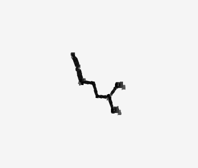 CN(C)CC[N+]=C=S